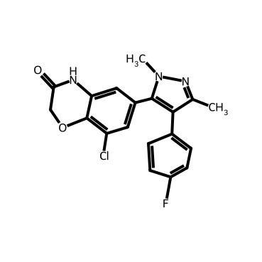 Cc1nn(C)c(-c2cc(Cl)c3c(c2)NC(=O)CO3)c1-c1ccc(F)cc1